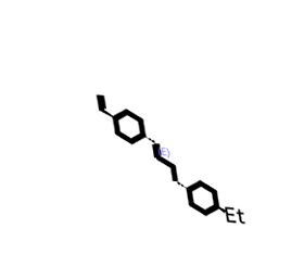 C=C[C@H]1CC[C@H](/C=C/CC[C@H]2CC[C@H](CC)CC2)CC1